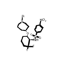 CC(C)N1CCC[C@@H](O[C@H]2CCCC(F)(F)[C@@H]2NS(=O)(=O)c2ccc([N+](=O)[O-])cc2)CC1